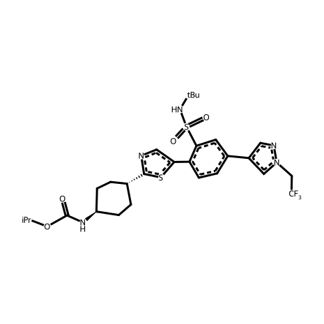 CC(C)OC(=O)N[C@H]1CC[C@H](c2ncc(-c3ccc(-c4cnn(CC(F)(F)F)c4)cc3S(=O)(=O)NC(C)(C)C)s2)CC1